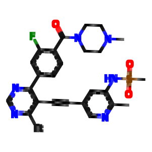 CCc1ncnc(-c2ccc(C(=O)N3CCN(C)CC3)c(F)c2)c1C#Cc1cnc(C)c(NS(C)(=O)=O)c1